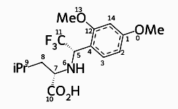 COc1ccc([C@H](N[C@@H](CC(C)C)C(=O)O)C(F)(F)F)c(OC)c1